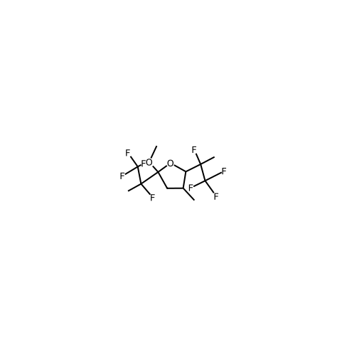 COC1(C(C)(F)C(F)(F)F)CC(C)C(C(C)(F)C(F)(F)F)O1